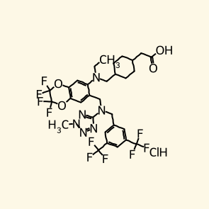 CCN(CC1CCC(CC(=O)O)CC1)c1cc2c(cc1CN(Cc1cc(C(F)(F)F)cc(C(F)(F)F)c1)c1nnn(C)n1)OC(F)(F)C(F)(F)O2.Cl